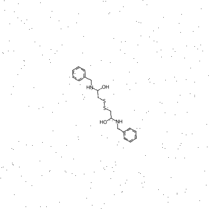 OC(CSSCC(O)NCc1ccccc1)NCc1ccccc1